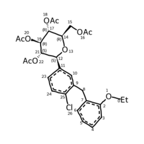 CCOc1ccccc1Cc1cc([C@@H]2O[C@H](COC(C)=O)[C@@H](OC(C)=O)[C@H](OC(C)=O)[C@H]2OC(C)=O)ccc1Cl